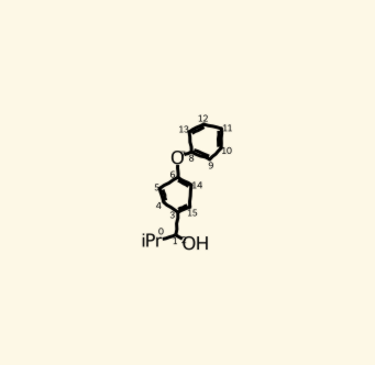 CC(C)C(O)c1ccc(Oc2ccccc2)cc1